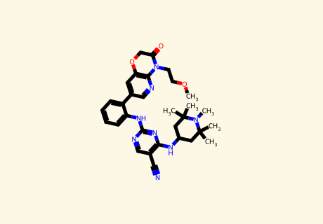 COCCN1C(=O)COc2cc(-c3ccccc3Nc3ncc(C#N)c(NC4CC(C)(C)N(C)C(C)(C)C4)n3)cnc21